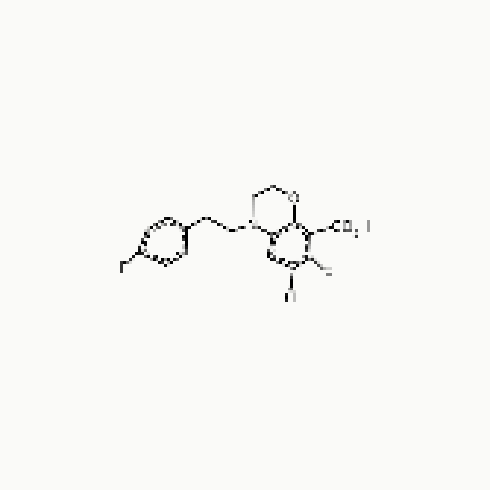 O=C(O)c1c(F)c(Cl)cc2c1OCCN2CCc1ccc(F)cc1